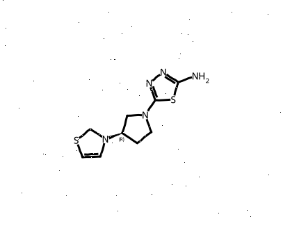 Nc1nnc(N2CC[C@@H](N3C=CSC3)C2)s1